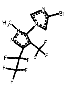 Cn1nc(C(F)(F)C(F)(F)F)c(C(F)(F)F)c1-n1cnc(Br)c1